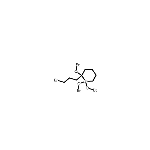 CCOC1(CCCBr)CCCC[Si]1(OCC)OCC